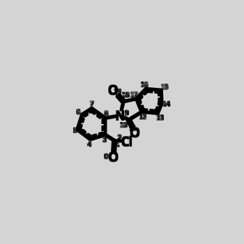 O=C(Cl)c1ccccc1N1C(=O)c2ccccc2C1=O